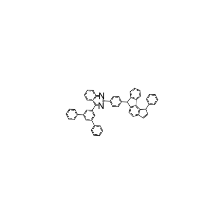 C1=CC(c2ccccc2)c2c1ccc1c2-c2ccccc2C1c1ccc(-c2nc(-c3cc(-c4ccccc4)cc(-c4ccccc4)c3)c3ccccc3n2)cc1